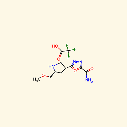 COC[C@@H]1C[C@@H](c2nnc(C(N)=O)o2)CN1.O=C(O)C(F)(F)F